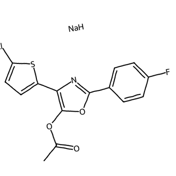 CC(=O)Oc1oc(-c2ccc(F)cc2)nc1-c1ccc(Cl)s1.[NaH]